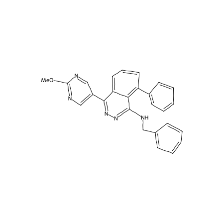 COc1ncc(-c2nnc(NCc3ccccc3)c3c(-c4ccccc4)cccc23)cn1